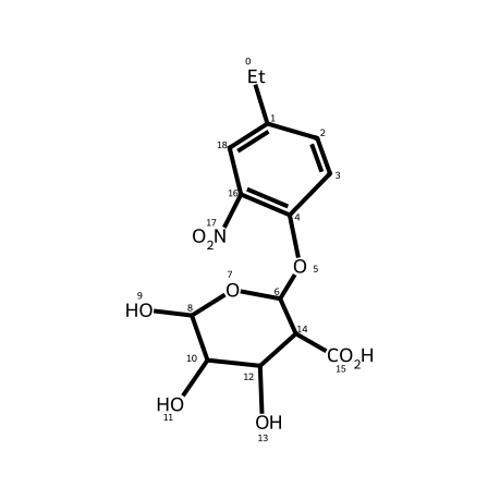 CCc1ccc(OC2OC(O)C(O)C(O)C2C(=O)O)c([N+](=O)[O-])c1